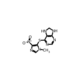 Cn1cnc([N+](=O)[O-])c1Sc1ncnc2c1NCN2